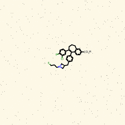 O=C(O)c1ccc2c(c1)CCCC(c1ccc(F)c(Cl)c1)=C2c1ccc(CC2CN(CCCF)C2)cc1